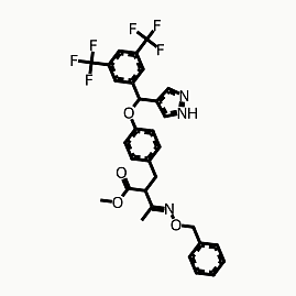 COC(=O)C(Cc1ccc(OC(c2cn[nH]c2)c2cc(C(F)(F)F)cc(C(F)(F)F)c2)cc1)C(C)=NOCc1ccccc1